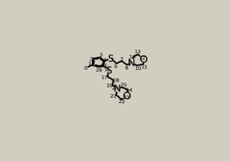 Cc1ccc(SCCCN2CCOCC2)c(SCCCN2CCOCC2)c1